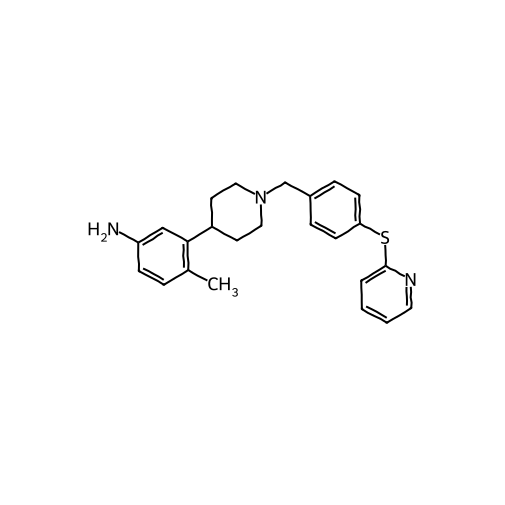 Cc1ccc(N)cc1C1CCN(Cc2ccc(Sc3ccccn3)cc2)CC1